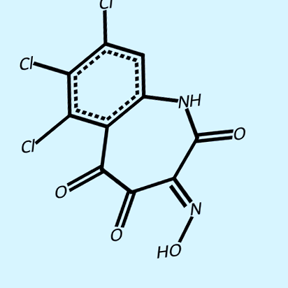 O=C1Nc2cc(Cl)c(Cl)c(Cl)c2C(=O)C(=O)C1=NO